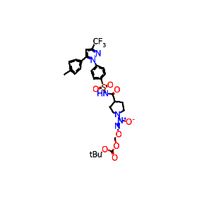 Cc1ccc(-c2cc(C(F)(F)F)nn2-c2ccc(S(=O)(=O)NC(=O)C3CCN([N+]([O-])=NOCOC(=O)OC(C)(C)C)CC3)cc2)cc1